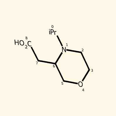 CC(C)N1CCOCC1CC(=O)O